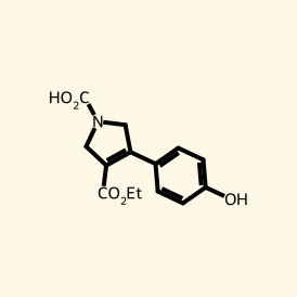 CCOC(=O)C1=C(c2ccc(O)cc2)CN(C(=O)O)C1